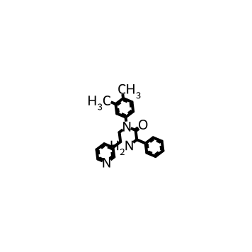 Cc1ccc(N(CCc2cccnc2)C(=O)C(N)c2ccccc2)cc1C